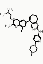 CC1=Nc2c(F)cc(C3=CCCCc4nc(Nc5ccc(N6CCNCC6)nc5)ncc43)cc2C[C@@H]1CCC(C)C